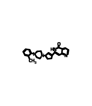 Cc1ccccc1N1CCN(C2C=C(c3cc4ncccc4c(=O)[nH]3)CC2)CC1